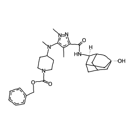 Cc1c(C(=O)N[C@H]2C3CC4CC2C[C@](O)(C4)C3)nn(C)c1N(C)C1CCN(C(=O)OCc2ccccc2)CC1